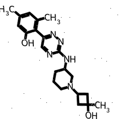 Cc1cc(C)c(-c2cnc(NC3CCCN(C4CC(C)(O)C4)C3)nn2)c(O)c1